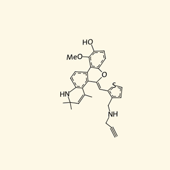 C#CCNCc1ccsc1/C=C1\Oc2ccc(O)c(OC)c2-c2ccc3c(c21)C(C)=CC(C)(C)N3